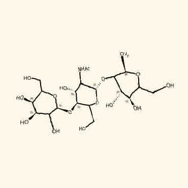 CC(=O)NC1[C@H](OC2[C@@H](O)[C@H](O)C(CO)O[C@@H]2C)OC(CO)[C@@H](O[C@@H]2OC(CO)[C@H](O)[C@H](O)C2O)[C@@H]1O